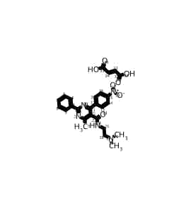 Cc1nc(-c2ccccc2)nc(-c2ccc([N+](=O)[O-])cc2)c1C(=O)NCCN(C)C.O=C(O)C=CC(=O)O